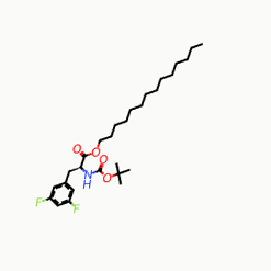 CCCCCCCCCCCCCCOC(=O)[C@H](Cc1cc(F)cc(F)c1)NC(=O)OC(C)(C)C